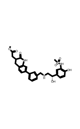 COC(=O)CC1Cc2ccc(-c3cccc(CNC[C@@H](O)c4ccc(O)c(NS(C)(=O)=O)c4)c3)cc2NC1=O